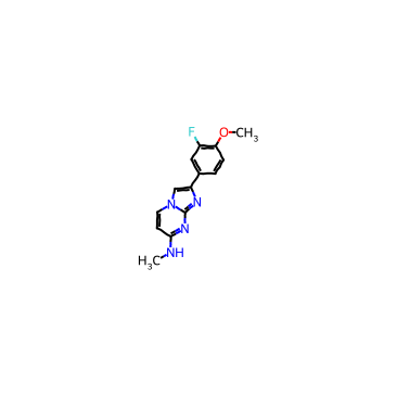 CNc1ccn2cc(-c3ccc(OC)c(F)c3)nc2n1